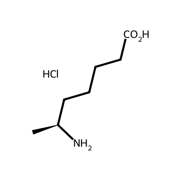 C[C@H](N)CCCCC(=O)O.Cl